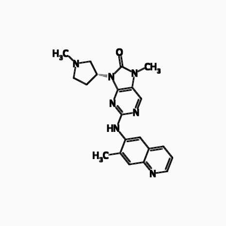 Cc1cc2ncccc2cc1Nc1ncc2c(n1)n([C@@H]1CCN(C)C1)c(=O)n2C